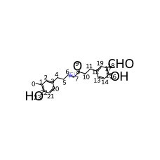 Cc1cc(CC/C=C/C(=O)CCc2ccc(O)c([3CH]=O)c2)ccc1O